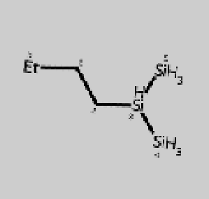 CCCC[SiH]([SiH3])[SiH3]